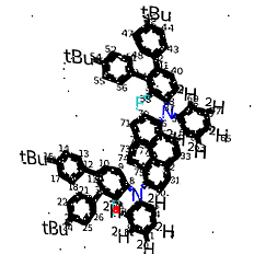 [2H]c1c([2H])c([2H])c(N(c2ccc(-c3ccc(C(C)(C)C)cc3)c(-c3ccc(C(C)(C)C)cc3)c2F)c2ccc3ccc4c(N(c5ccc(-c6ccc(C(C)(C)C)cc6)c(-c6ccc(C(C)(C)C)cc6)c5F)c5c([2H])c([2H])c([2H])c([2H])c5[2H])ccc5ccc2c3c54)c([2H])c1[2H]